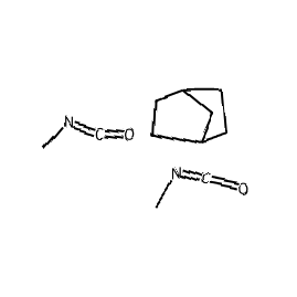 C1CC2CCC1C2.CN=C=O.CN=C=O